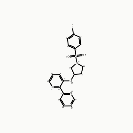 O=S(=O)(c1ccc(F)cc1)N1CCC(Oc2cccnc2-c2ccncn2)C1